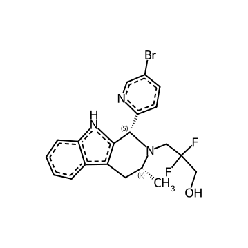 C[C@@H]1Cc2c([nH]c3ccccc23)[C@H](c2ccc(Br)cn2)N1CC(F)(F)CO